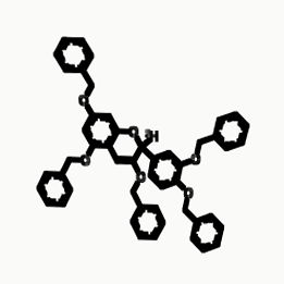 [2H]C1(c2ccc(OCc3ccccc3)c(OCc3ccccc3)c2)Oc2cc(OCc3ccccc3)cc(OCc3ccccc3)c2C=C1OCc1ccccc1